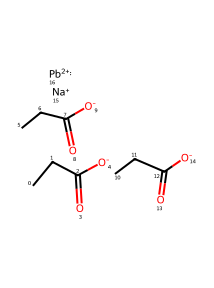 CCC(=O)[O-].CCC(=O)[O-].CCC(=O)[O-].[Na+].[Pb+2]